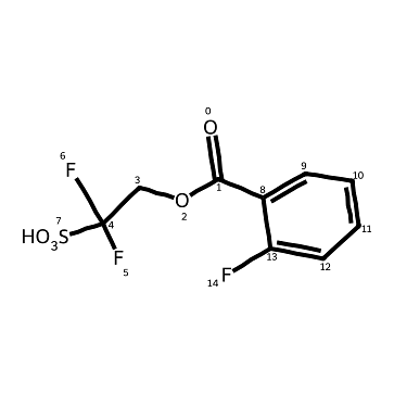 O=C(OCC(F)(F)S(=O)(=O)O)c1ccccc1F